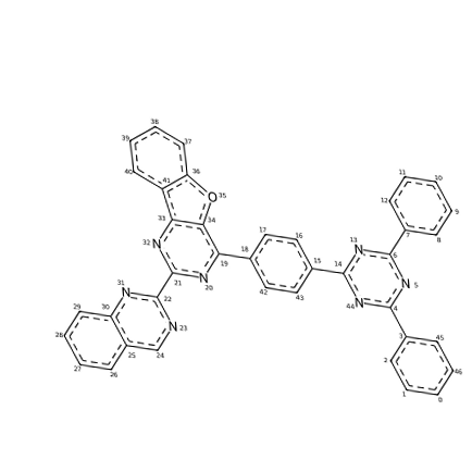 c1ccc(-c2nc(-c3ccccc3)nc(-c3ccc(-c4nc(-c5ncc6ccccc6n5)nc5c4oc4ccccc45)cc3)n2)cc1